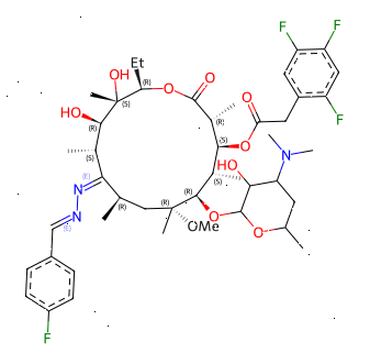 CC[C@H]1OC(=O)[C@H](C)[C@@H](OC(=O)Cc2cc(F)c(F)cc2F)[C@H](C)[C@@H](OC2OC(C)CC(N(C)C)C2O)[C@](C)(OC)C[C@@H](C)/C(=N\N=C\c2ccc(F)cc2)[C@H](C)[C@@H](O)[C@]1(C)O